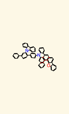 c1ccc(-c2cccc(-c3ccccc3N(c3ccc(-c4ccc(-c5ccccc5)cc4-n4c5ccccc5c5ccccc54)cc3)c3cccc(-c4cccc5c4oc4ccccc45)c3)c2)cc1